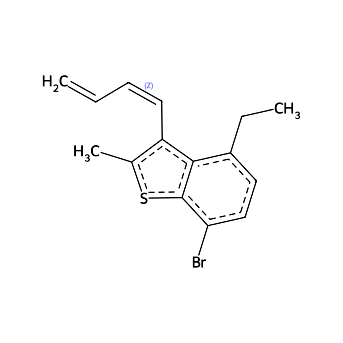 C=C/C=C\c1c(C)sc2c(Br)ccc(CC)c12